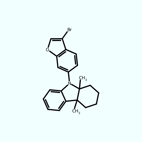 CC12CCCCC1(C)N(c1ccc3c(Br)coc3c1)c1ccccc12